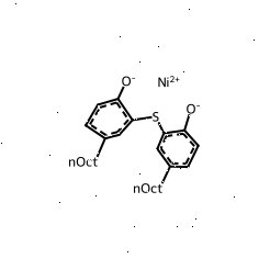 CCCCCCCCc1ccc([O-])c(Sc2cc(CCCCCCCC)ccc2[O-])c1.[Ni+2]